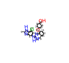 Cc1nc2cc(Nc3ncc4cccc(OC5CCC(O)CC5)c4n3)cc(Cl)c2[nH]1